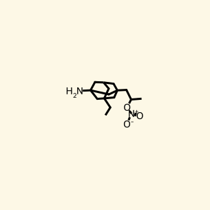 CCC12CC3CC(N)(C1)CC(CC(C)O[N+](=O)[O-])(C3)C2